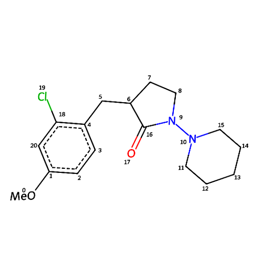 COc1ccc(CC2CCN(N3CCCCC3)C2=O)c(Cl)c1